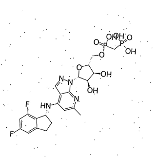 Cc1cc(N[C@@H]2CCc3cc(F)cc(F)c32)c2cnn([C@@H]3O[C@H](COP(=O)(O)CP(=O)(O)O)[C@@H](O)[C@H]3O)c2n1